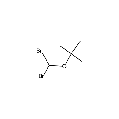 CC(C)(C)OC(Br)Br